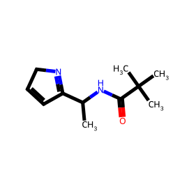 CC(NC(=O)C(C)(C)C)C1=NCC=C1